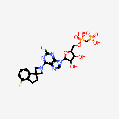 O=P(O)(O)CP(=O)(O)OCC1OC(n2cnc3c(N4CC5(CCc6c(F)cccc65)C4)nc(Cl)nc32)C(O)C1O